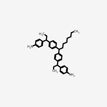 CCCCCCCC(c1ccc(C(CC)c2ccc(N)cc2)cc1)c1ccc(C(CC)c2ccc(N)cc2)cc1